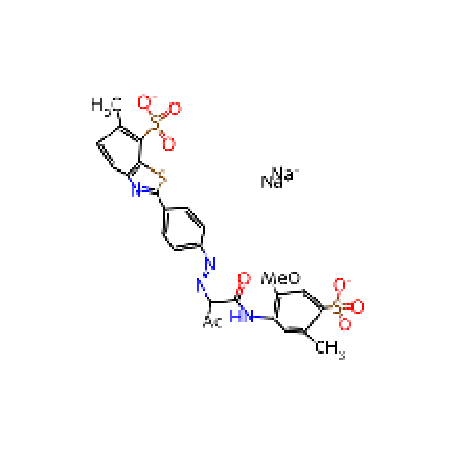 COc1cc(S(=O)(=O)[O-])c(C)cc1NC(=O)C(N=Nc1ccc(-c2nc3ccc(C)c(S(=O)(=O)[O-])c3s2)cc1)C(C)=O.[Na+].[Na+]